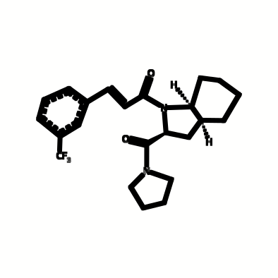 O=C([C@@H]1C[C@@H]2CCCC[C@@H]2N1C(=O)/C=C/c1cccc(C(F)(F)F)c1)N1CCCC1